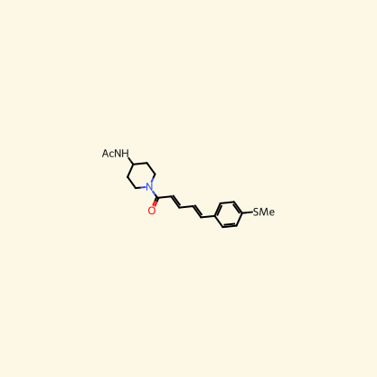 CSc1ccc(/C=C/C=C/C(=O)N2CCC(NC(C)=O)CC2)cc1